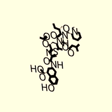 CC[C@H](C)[C@H](NC(=O)[C@H]1CCCCN1C)C(=O)N(COC(=O)CC(C)C)[C@H](C[C@@H](OC(C)=O)c1nc(C(=O)N[C@H]2Cc3ccc(O)cc3[C@H](C(=O)O)C2)cs1)C(C)C